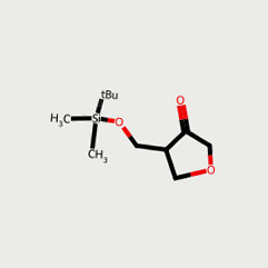 CC(C)(C)[Si](C)(C)OCC1COCC1=O